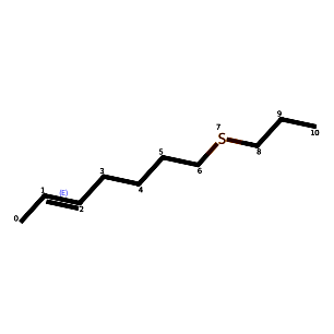 C/C=C/CCCCSCCC